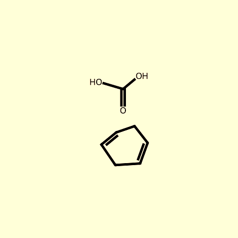 C1=CCC=CC1.O=C(O)O